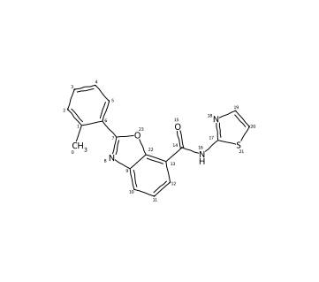 Cc1ccccc1-c1nc2cccc(C(=O)Nc3nccs3)c2o1